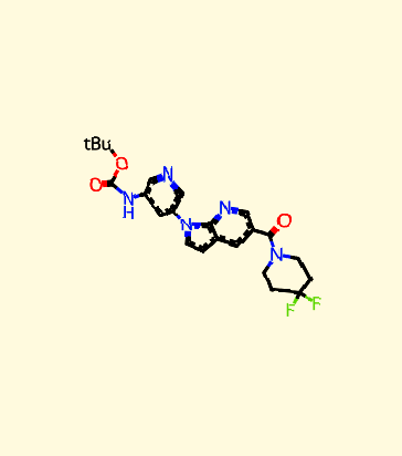 CC(C)(C)OC(=O)Nc1cncc(-n2ccc3cc(C(=O)N4CCC(F)(F)CC4)cnc32)c1